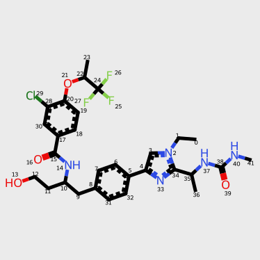 CCn1cc(-c2ccc(CC(CCO)NC(=O)c3ccc(OC(C)C(F)(F)F)c(Cl)c3)cc2)nc1C(C)NC(=O)NC